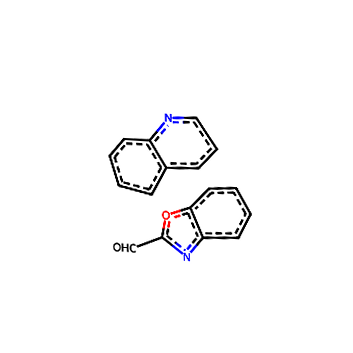 O=Cc1nc2ccccc2o1.c1ccc2ncccc2c1